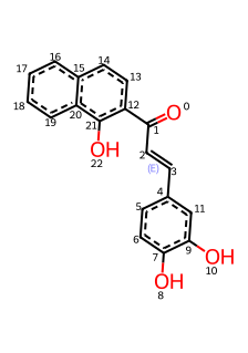 O=C(/C=C/c1ccc(O)c(O)c1)c1ccc2ccccc2c1O